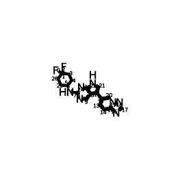 FC1(F)CCC(Nc2ncc3c(-c4ccc5ncnn5c4)c[nH]c3n2)CC1